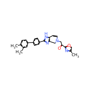 Cc1coc(C(=O)CN2C=Cc3[nH]c(-c4ccc(-c5ccc(C)c(C)c5)cc4)nc3C2)n1